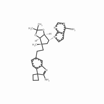 CC1(C)O[C@H]2[C@H](n3ccc4c(N)ncnc43)C[C@](C)(CCc3ccc4c(c3)N=C(N)C43CCC3)[C@H]2O1